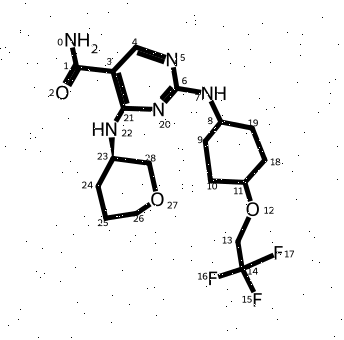 NC(=O)c1cnc(NC2CCC(OCC(F)(F)F)CC2)nc1N[C@@H]1CCCOC1